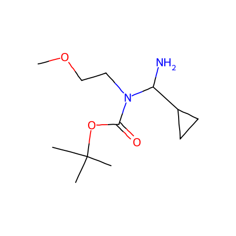 COCCN(C(=O)OC(C)(C)C)C(N)C1CC1